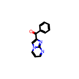 O=C(c1ccccc1)c1cn2cccnc2n1